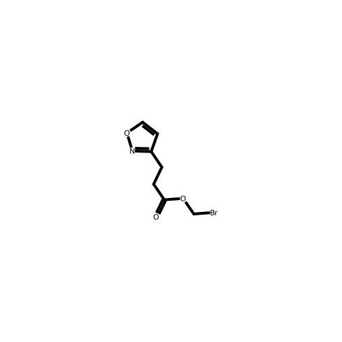 O=C(CCc1ccon1)OCBr